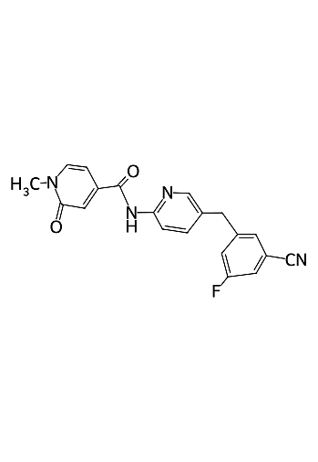 Cn1ccc(C(=O)Nc2ccc(Cc3cc(F)cc(C#N)c3)cn2)cc1=O